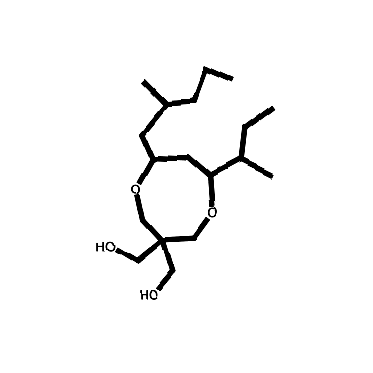 CCCC(C)CC1CC(C(C)CC)OCC(CO)(CO)CO1